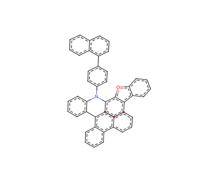 c1ccc(N(c2ccc(-c3cccc4ccccc34)cc2)c2cccc3c2oc2ccccc23)c(-c2cc3ccccc3c3ccccc23)c1